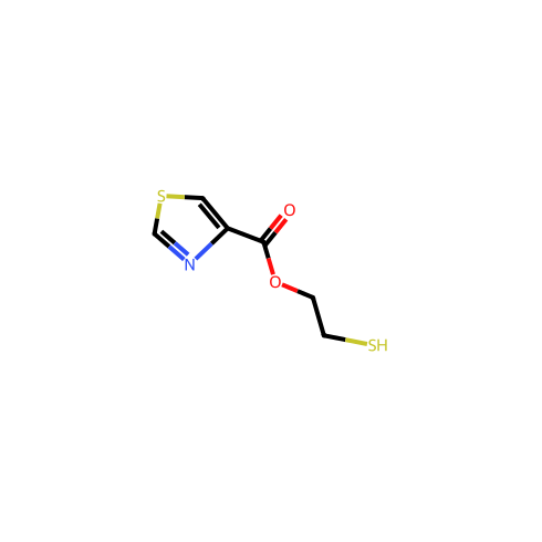 O=C(OCCS)c1cscn1